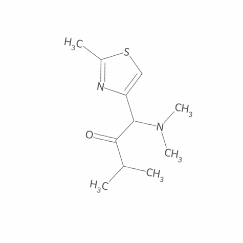 Cc1nc(C(C(=O)C(C)C)N(C)C)cs1